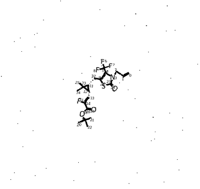 C=CCn1c(C(F)(F)F)c(C[C@@H]2[C@H](C=C(F)C(=O)OC(C)(C)C)C2(C)C)sc1=O